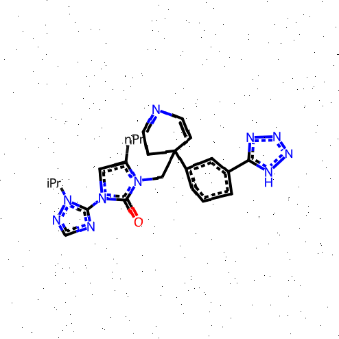 CCCc1cn(-c2ncnn2C(C)C)c(=O)n1CC1(c2cccc(-c3nnn[nH]3)c2)C=CN=CC1